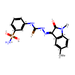 CCN1C(=O)C(=NNC(=S)Nc2cccc(S(N)(=O)=O)c2)c2cc(OC)ccc21